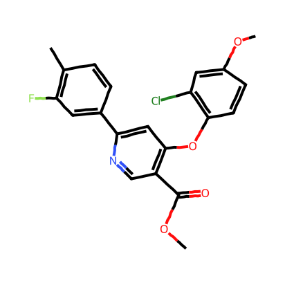 COC(=O)c1cnc(-c2ccc(C)c(F)c2)cc1Oc1ccc(OC)cc1Cl